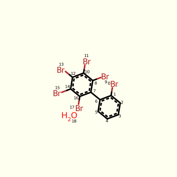 Brc1ccccc1-c1c(Br)c(Br)c(Br)c(Br)c1Br.O